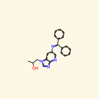 CC(O)Cn1cnc2ncc(N=C(c3ccccc3)c3ccccc3)cc21